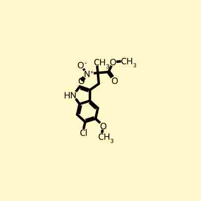 COC(=O)C(C)(Cc1c[nH]c2cc(Cl)c(OC)cc12)[N+](=O)[O-]